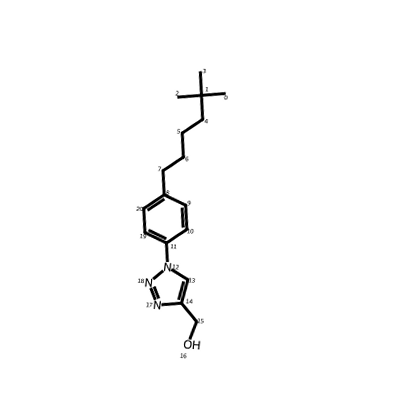 CC(C)(C)CCCCc1ccc(-n2cc(CO)nn2)cc1